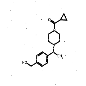 CC(c1ccc(CO)cc1)N1CCN(C(=O)C2CC2)CC1